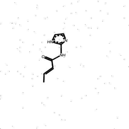 CC=CC(=O)Nc1ncc[nH]1